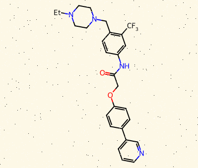 CCN1CCN(Cc2ccc(NC(=O)COc3ccc(-c4cccnc4)cc3)cc2C(F)(F)F)CC1